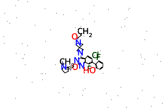 C=CC(=O)N1CC2(C1)CN(c1nc(OC[C@@H]3CCCN3C)nc3c(F)c(-c4c(O)cccc4F)c(Cl)cc13)C2